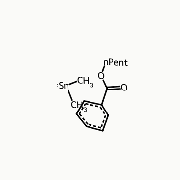 CCCCCOC(=O)c1ccccc1.[CH3][Sn][CH3]